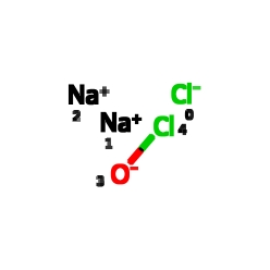 [Cl-].[Na+].[Na+].[O-]Cl